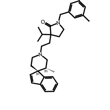 Cc1cc(C)cc(CN2CCC(CCN3CC[C@@]4(C=Cc5ccccc54)[C@@H](C)C3)(C(C)C)C2=O)c1